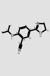 CC(C)Oc1ccc(C2=NCCO2)cc1C#N